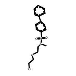 CN(CCOCCO)S(=O)(=O)c1ccc(-c2ccccc2)cc1